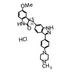 COc1ccc2c(c1)[C@]1(C[C@H]1c1ccc3c(-c4ccc(N5CCN(C)CC5)cc4)n[nH]c3c1)C(=O)N2.Cl